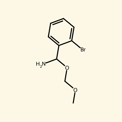 COCOC(N)c1ccccc1Br